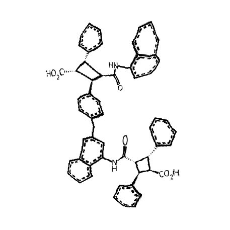 O=C(O)[C@@H]1[C@H](c2ccccc2)[C@@H](C(=O)Nc2cccc3ccccc23)[C@H]1c1ccc(-c2cc(NC(=O)[C@H]3[C@H](c4ccccc4)[C@H](C(=O)O)[C@H]3c3ccccc3)c3ccccc3c2)cc1